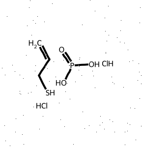 C=CCS.Cl.Cl.O=[P](O)O